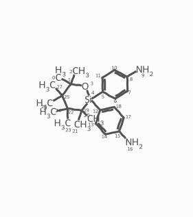 CC1(C)O[Si](c2ccc(N)cc2)(c2ccc(N)cc2)C(C)(C)C(C)(C)C1(C)C